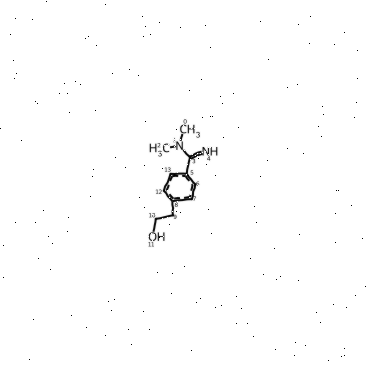 CN(C)C(=N)c1ccc(CCO)cc1